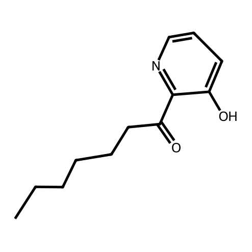 CCCCCCC(=O)c1ncccc1O